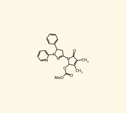 COC(=O)OC1C(C)=C(C)C(=O)N1C1=NN(c2ccccn2)C(c2ccccc2)C1